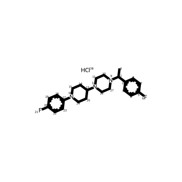 CC(c1ccc(F)cc1)N1CCN(C2CCN(c3ccc(F)cc3)CC2)CC1.Cl